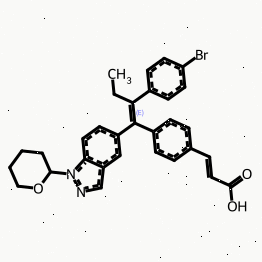 CC/C(=C(/c1ccc(C=CC(=O)O)cc1)c1ccc2c(cnn2C2CCCCO2)c1)c1ccc(Br)cc1